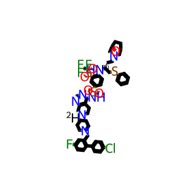 [2H]C1(N2CCc3c(ncnc3NS(=O)(=O)c3ccc(N[C@H](CCN4CC5CCC(C4)O5)CSc4ccccc4)c(S(=O)(=O)C(F)(F)F)c3)C2)CCN(Cc2cc(F)ccc2-c2ccc(Cl)cc2)CC1